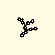 CC1(C)c2ccccc2-c2ccc(N(c3ccc(-c4ccccc4)cc3)c3ccc4c5c6sc7ccccc7c6ccc5n(-c5ccc(-c6ccccc6)cc5)c4c3)cc21